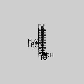 CNC.O=S(=O)(O)C(F)(F)C(F)(F)C(F)(F)C(F)(F)C(F)(F)C(F)(F)C(F)(F)C(F)(F)C(F)(F)C(F)(F)C(F)(F)C(F)F